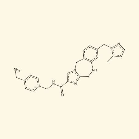 Cc1ccnn1Cc1ccc2c(c1)NCc1nc(C(=O)NCc3ccc(CN)cc3)cn1C2